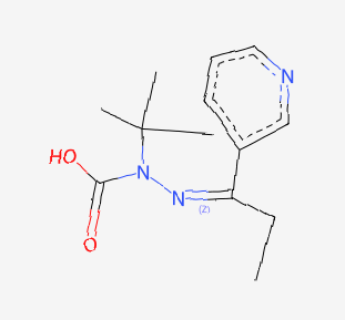 CC/C(=N/N(C(=O)O)C(C)(C)C)c1cccnc1